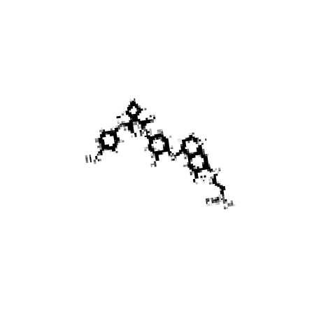 CCN(CC)CCOc1cc2nccc(Oc3ccc(NC(=O)C4(C(=O)Nc5ccc(C)cc5)CCC4)cc3F)c2cc1OC